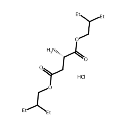 CCC(CC)COC(=O)C[C@H](N)C(=O)OCC(CC)CC.Cl